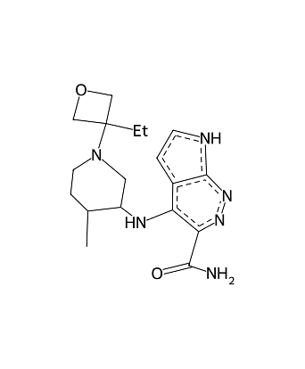 CCC1(N2CCC(C)C(Nc3c(C(N)=O)nnc4[nH]ccc34)C2)COC1